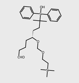 CC(C)(CC[C@@H](CCCC=O)OCOCC[Si](C)(C)C)[Si](O)(c1ccccc1)c1ccccc1